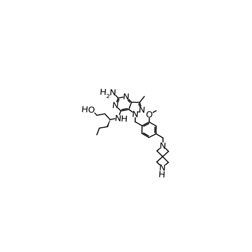 CCC[C@@H](CCO)Nc1nc(N)nc2c(C)nn(Cc3ccc(CN4CC5(CNC5)C4)cc3OC)c12